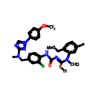 CCS/C(=N\C(=O)Nc1ccc(CN(C)c2ncn(-c3ccc(OC(F)(F)F)cc3)n2)cc1F)N(C=O)c1cc(C)ccc1COC